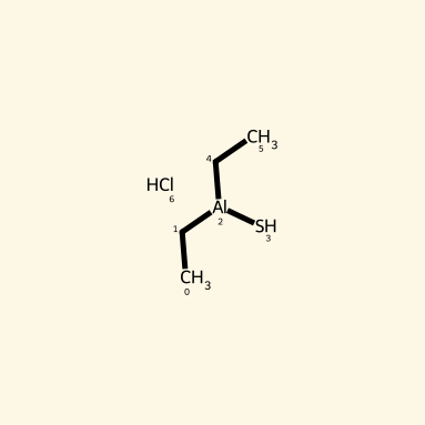 C[CH2][Al]([SH])[CH2]C.Cl